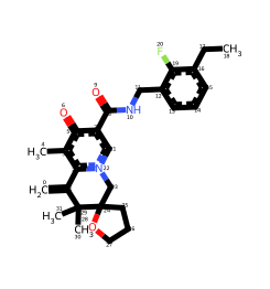 C=C1c2c(C)c(=O)c(C(=O)NCc3cccc(CC)c3F)cn2CC2(CCCO2)C1(C)C